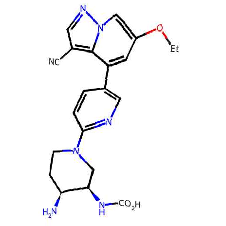 CCOc1cc(-c2ccc(N3CC[C@H](N)[C@H](NC(=O)O)C3)nc2)c2c(C#N)cnn2c1